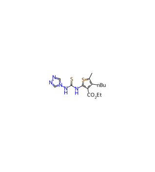 CCCCc1c(C)sc(NC(=S)Nn2cnnc2)c1C(=O)OCC